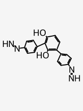 N=Nc1ccc(-c2ccc(O)c(-c3ccc(N=N)cc3)c2O)cc1